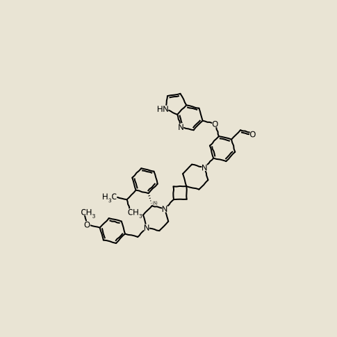 COc1ccc(CN2CCN(C3CC4(CCN(c5ccc(C=O)c(Oc6cnc7[nH]ccc7c6)c5)CC4)C3)[C@@H](c3ccccc3C(C)C)C2)cc1